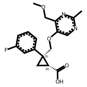 COCc1nc(C)ncc1OC[C@@]1(c2cccc(F)c2)C[C@H]1C(=O)O